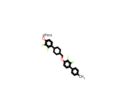 CCCCCOc1ccc(C2CCC(COc3ccc(-c4ccc(C)cc4)c(F)c3F)CC2)c(F)c1F